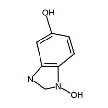 Oc1ccc2c(c1)[N]CN2O